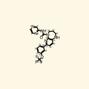 O=C(Nc1cnccn1)N1CCCNc2ccc(-c3cccc(OC(F)(F)F)c3)nc21